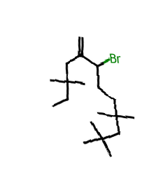 C=C(CC(C)(C)CC)C(Br)CCC(C)(C)CC(C)(C)C